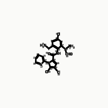 NCc1cc(Cl)cc(N(N)C=O)c1NC(=O)c1cc(Cl)c(Cl)n1-c1ccccn1